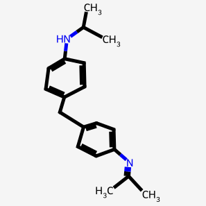 CC(C)=Nc1ccc(Cc2ccc(NC(C)C)cc2)cc1